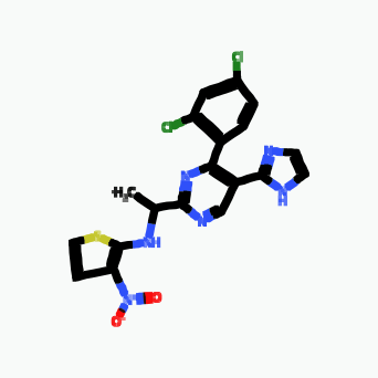 [CH2]C(Nc1sccc1[N+](=O)[O-])c1ncc(-c2ncc[nH]2)c(-c2ccc(Cl)cc2Cl)n1